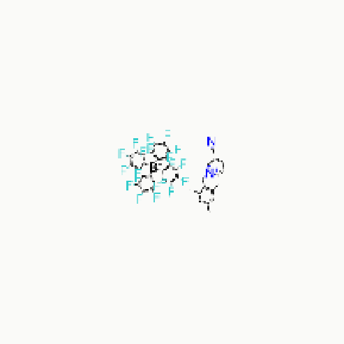 Cc1cc(C)c(C[n+]2cccc(C#N)c2)c(C)c1.Fc1c(F)c(F)c([B-](c2c(F)c(F)c(F)c(F)c2F)(c2c(F)c(F)c(F)c(F)c2F)c2c(F)c(F)c(F)c(F)c2F)c(F)c1F